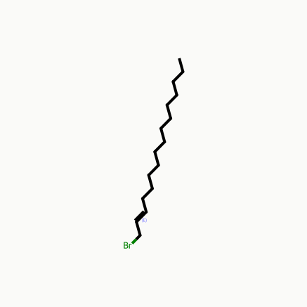 CCCCCCCCCCCCC/C=C/CBr